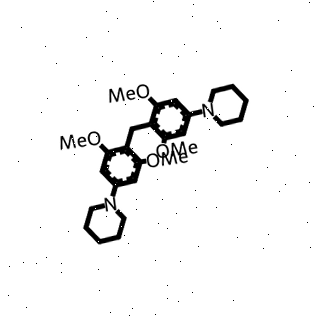 COc1cc(N2CCCCC2)cc(OC)c1Cc1c(OC)cc(N2CCCCC2)cc1OC